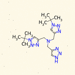 CC(C)(C)n1cc(CN(Cc2c[nH]nn2)Cc2cn(C(C)(C)C)nn2)nn1